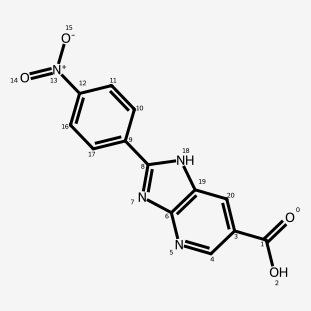 O=C(O)c1cnc2nc(-c3ccc([N+](=O)[O-])cc3)[nH]c2c1